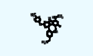 CNc1cc(F)c2c3c1[nH]c1nc(Oc4cnc(C)nc4)nc(c13)-c1ccc(CN)cc1NC2